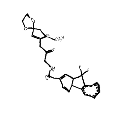 O=C(CNC(=O)C1=CC2C(C=C1)c1ccccc1C2(F)F)CC1=CC2(C[C@H]1C(=O)O)OCCO2